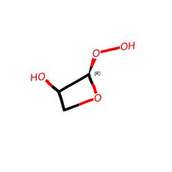 OO[C@H]1OCC1O